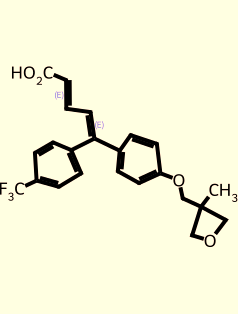 CC1(COc2ccc(/C(=C/C=C/C(=O)O)c3ccc(C(F)(F)F)cc3)cc2)COC1